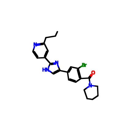 CCCc1cc(-c2nc(-c3ccc(C(=O)N4CCCCC4)c(Br)c3)c[nH]2)ccn1